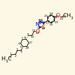 CCCCC[C@H]1CC[C@H](CCCOc2nnc(-c3ccc(OCC)cc3)s2)CC1